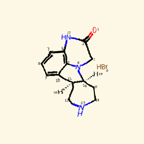 Br.O=C1CN2c3c(cccc3[C@@H]3CNCC[C@@H]32)N1